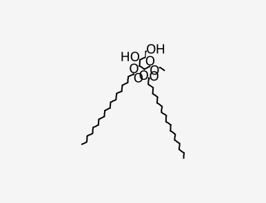 CCCCCCCCCCCCCCCCCC(=O)O[C@H]1[C@H](O)[C@@H](CO)OC(OCC)[C@@H]1OC(=O)CCCCCCCCCCCCCCCCC